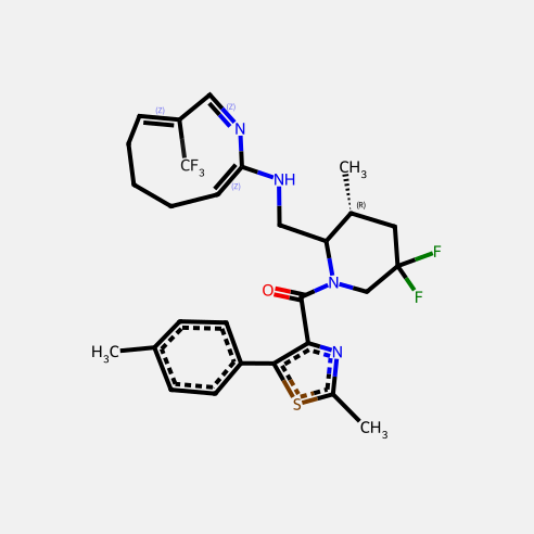 Cc1ccc(-c2sc(C)nc2C(=O)N2CC(F)(F)C[C@@H](C)C2CNC2=C/CCC/C=C(C(F)(F)F)/C=N\2)cc1